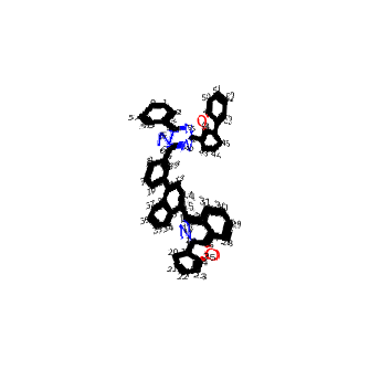 c1ccc(-c2nc(-c3cccc(-c4ccc(-c5nc6c7ccccc7oc6c6ccccc56)c5ccccc45)c3)nc(-c3cccc4c3oc3ccccc34)n2)cc1